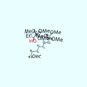 CCC(O)[Si](OC)(OC)OC.CCCCCCCCCCCCCCCC[Si](OC)(OC)OC